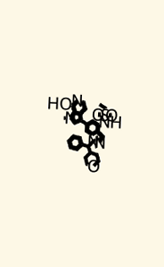 CCS(=O)(=O)Nc1cc(-c2cn(C)c3c(O)nccc23)cc2c1cnn2C(c1ccccc1)C1CCOCC1